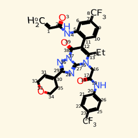 C=CC(=O)Nc1cc(C(F)(F)F)ccc1-c1c(CC)n(CC(=O)Nc2ccc(C(F)(F)F)cc2)c2nc(C3=CCOCC3)nn2c1=O